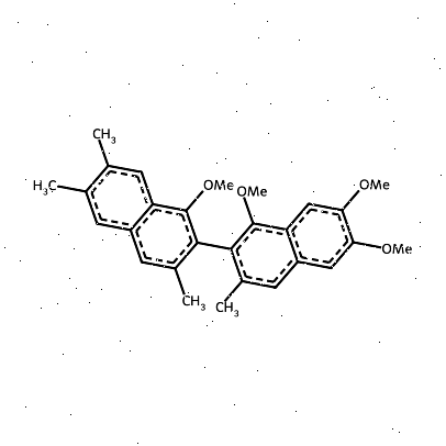 COc1cc2cc(C)c(-c3c(C)cc4cc(C)c(C)cc4c3OC)c(OC)c2cc1OC